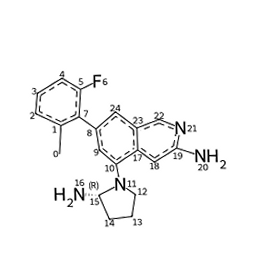 Cc1cccc(F)c1-c1cc(N2CCC[C@@H]2N)c2cc(N)ncc2c1